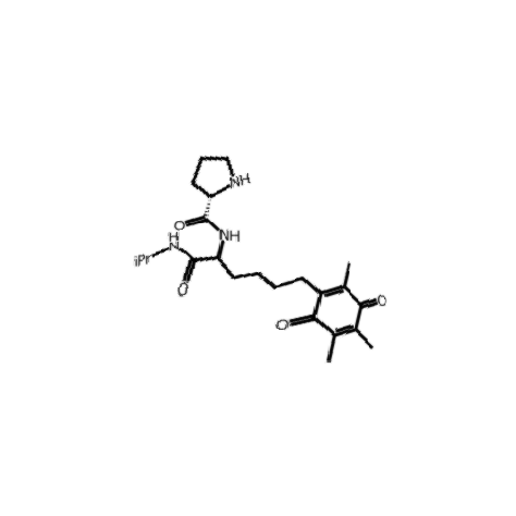 CC1=C(C)C(=O)C(CCCCC(NC(=O)[C@@H]2CCCN2)C(=O)NC(C)C)=C(C)C1=O